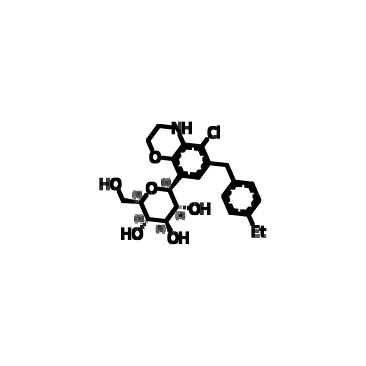 CCc1ccc(Cc2cc([C@@H]3O[C@H](CO)[C@@H](O)[C@H](O)[C@H]3O)c3c(c2Cl)NCCO3)cc1